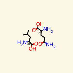 CC(C)C[C@H](N)C(=O)O.NC(=O)CC[C@H](N)C(=O)O